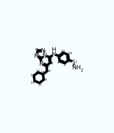 NSc1ccc(Nc2cc(CC3CCCCC3)nc3ncnn23)cc1